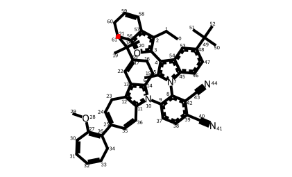 CCc1c(-c2c(C)n(-c3c(-n4c5c(c6c4CCC(C(C)(C)C)=C6)CC=C(C4=C(OC)C=CC=CC4)C=C5)ccc(C#N)c3C#N)c3ccc(C(C)(C)C)cc23)oc2c1C=CCC2